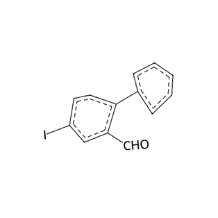 O=Cc1cc(I)ccc1-c1ccccc1